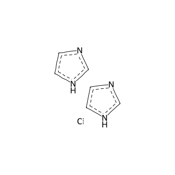 [C].c1c[nH]cn1.c1c[nH]cn1